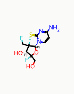 Nc1ccn([C@@H]2O[C@](F)(CO)[C@H](O)C2(F)CF)c(=S)n1